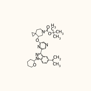 C=C(C)c1ccc2c(c1)c(-c1cncc(OC3CN(C(=O)OC(C)(C)C)CCC34CC4)n1)nn2C1CCCCO1